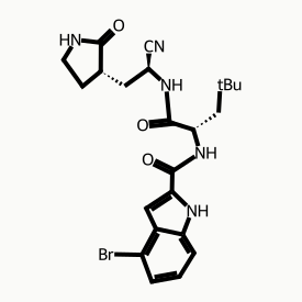 CC(C)(C)C[C@H](NC(=O)c1cc2c(Br)cccc2[nH]1)C(=O)N[C@H](C#N)C[C@@H]1CCNC1=O